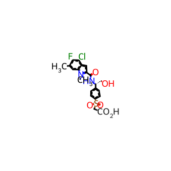 Cc1cc2c(cc(C(=O)N[C@H](CO)c3ccc(S(=O)(=O)CC(=O)O)cc3)n2C)c(Cl)c1F